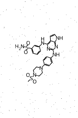 CS(=O)(=O)N1CCN(c2ccc(Nc3nc(Nc4cccc(S(N)(=O)=O)c4)c4cc[nH]c4n3)cc2)CC1